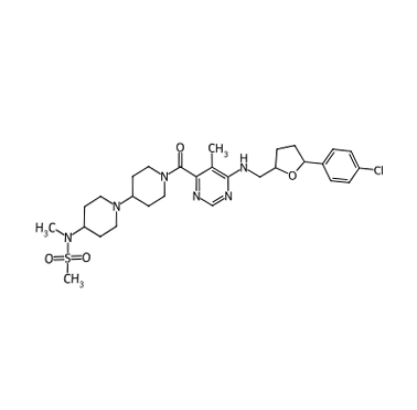 Cc1c(NCC2CCC(c3ccc(Cl)cc3)O2)ncnc1C(=O)N1CCC(N2CCC(N(C)S(C)(=O)=O)CC2)CC1